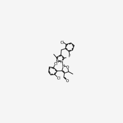 Cc1nn(N2OC(C)C(C=O)=C2c2c(Cl)cccc2Cl)c(C)c1Cc1c(F)cccc1Cl